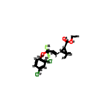 CCOC(=O)[C@@H]1[C@@H](C=CC(F)(F)Oc2ccc(Cl)cc2Cl)C1(C)C